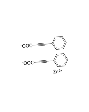 O=C([O-])C#Cc1ccccc1.O=C([O-])C#Cc1ccccc1.[Zn+2]